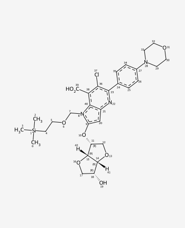 C[Si](C)(C)CCOCn1c(O[C@@H]2CO[C@H]3[C@@H]2OC[C@H]3O)cc2nc(-c3ccc(N4CCOCC4)cc3)c(Cl)c(C(=O)O)c21